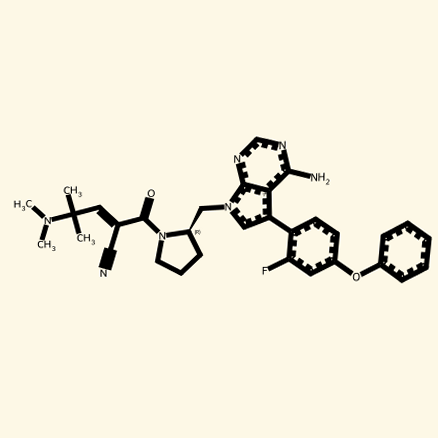 CN(C)C(C)(C)C=C(C#N)C(=O)N1CCC[C@@H]1Cn1cc(-c2ccc(Oc3ccccc3)cc2F)c2c(N)ncnc21